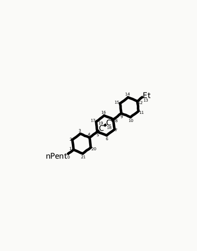 CCCCCC1CCC(C23CCC(C4CCC(CC)CC4)(CC2)CC3)CC1